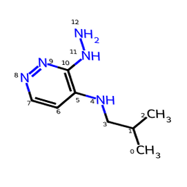 CC(C)CNc1ccnnc1NN